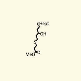 CCCCCCCCCC(O)CCSCCC(=O)OC